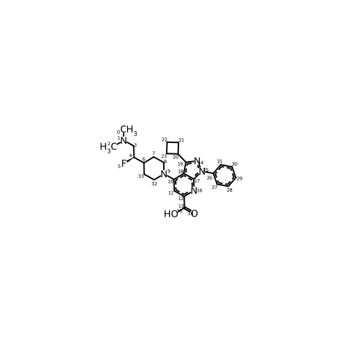 CN(C)C[C@H](F)C1CCN(c2cc(C(=O)O)nc3c2c(C2CCC2)nn3-c2ccccc2)CC1